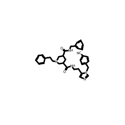 N#Cc1ccc(Cn2cncc2CCNC(=O)C2CC(C(=O)NCc3ccccc3)CN(CCc3ccccc3)C2)cc1